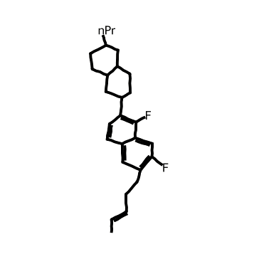 C/C=C/CCc1cc2ccc(C3CCC4CC(CCC)CCC4C3)c(F)c2cc1F